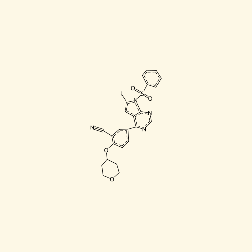 N#Cc1cc(-c2ncnc3c2cc(I)n3S(=O)(=O)c2ccccc2)ccc1OC1CCOCC1